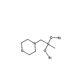 CCO[Si](C)(CN1CCOCC1)OCC